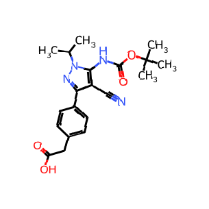 CC(C)n1nc(-c2ccc(CC(=O)O)cc2)c(C#N)c1NC(=O)OC(C)(C)C